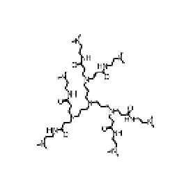 CN(C)CCNC(=O)CCN(CCCN(CCCN(CCC(=O)NCCN(C)C)CCC(=O)NCCN(C)C)CCCN(CCC(=O)NCCN(C)C)CCC(=O)NCCN(C)C)CCC(=O)NCCN(C)C